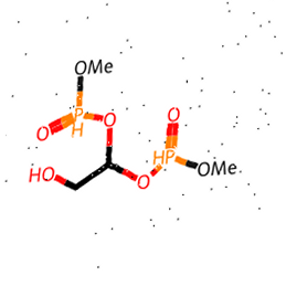 CO[PH](=O)OC(CO)O[PH](=O)OC